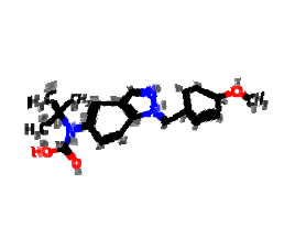 COc1ccc(Cn2ncc3cc(N(C(=O)O)C(C)(C)C)ccc32)cc1